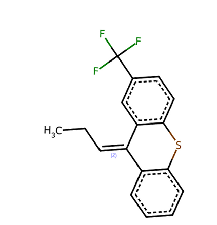 CC/C=C1/c2ccccc2Sc2ccc(C(F)(F)F)cc21